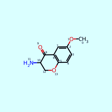 COc1ccc2c(c1)C(=O)C(N)CO2